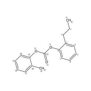 CCCc1ccccc1OC(=O)Oc1ccccc1C